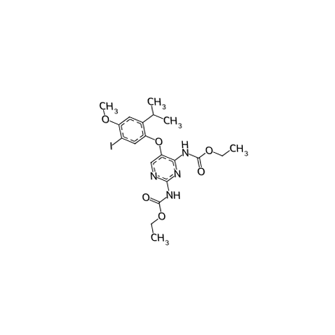 CCOC(=O)Nc1ncc(Oc2cc(I)c(OC)cc2C(C)C)c(NC(=O)OCC)n1